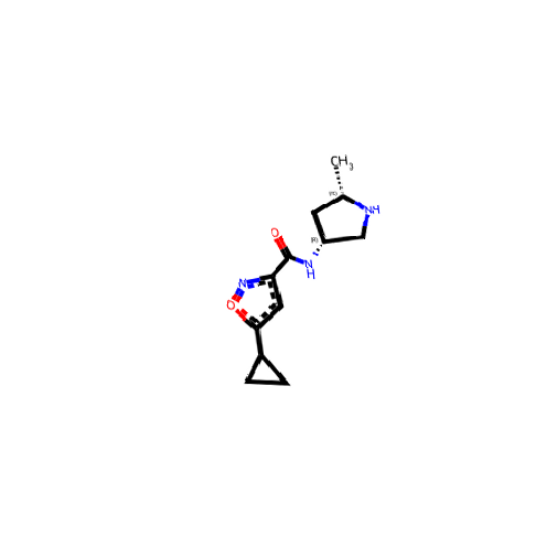 C[C@H]1C[C@@H](NC(=O)c2cc(C3CC3)on2)CN1